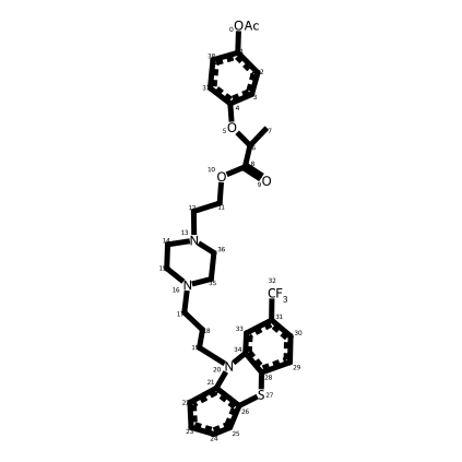 CC(=O)Oc1ccc(OC(C)C(=O)OCCN2CCN(CCCN3c4ccccc4Sc4ccc(C(F)(F)F)cc43)CC2)cc1